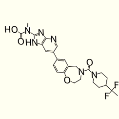 CN(C(=O)O)c1nc2ncc(-c3ccc4c(c3)CN(C(=O)N3CCC(C(C)(F)F)CC3)CCO4)cc2[nH]1